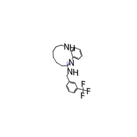 FC(F)(F)c1cccc(CN/C2=N/c3ccccc3NCCCCCC2)c1